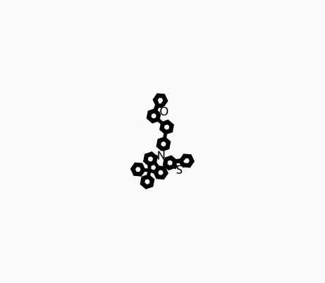 c1ccc(C2(c3ccccc3)c3ccccc3-c3c(N(c4ccc(-c5cccc(-c6cccc7c6oc6ccccc67)c5)cc4)c4ccc5sc6ccccc6c5c4)cccc32)cc1